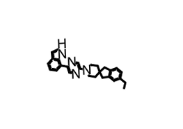 CCc1ccc2c(c1)CC1(CCN(c3cnc(-c4cccc5cc[nH]c45)cn3)CC1)C2